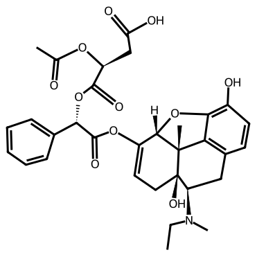 CCN(C)[C@@H]1Cc2ccc(O)c3c2[C@@]2(C)[C@@H](O3)C(OC(=O)[C@@H](OC(=O)[C@H](CC(=O)O)OC(C)=O)c3ccccc3)=CC[C@@]12O